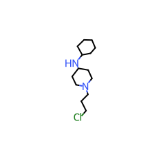 ClCCCN1CCC(NC2CCCCC2)CC1